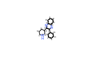 c1ccc(-c2nc3ccccc3nc2C2CCCNC2)cc1